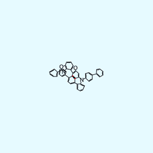 c1ccc(-c2ccc(-c3ccccc3N(c3ccc(-c4ccccc4)cc3)c3ccc4c(c3)oc3ccc5oc(-c6ccccc6)nc5c34)cc2)cc1